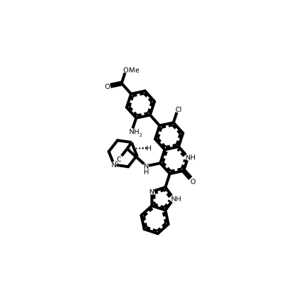 COC(=O)c1ccc(-c2cc3c(N[C@H]4CN5CCC4CC5)c(-c4nc5ccccc5[nH]4)c(=O)[nH]c3cc2Cl)c(N)c1